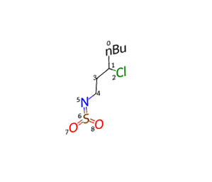 CCCCC(Cl)CCN=S(=O)=O